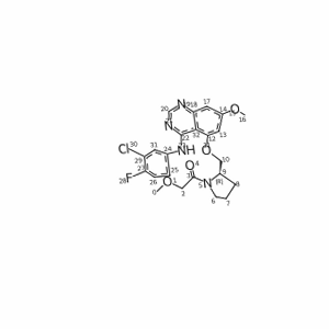 COCC(=O)N1CCC[C@@H]1COc1cc(OC)cc2ncnc(Nc3ccc(F)c(Cl)c3)c12